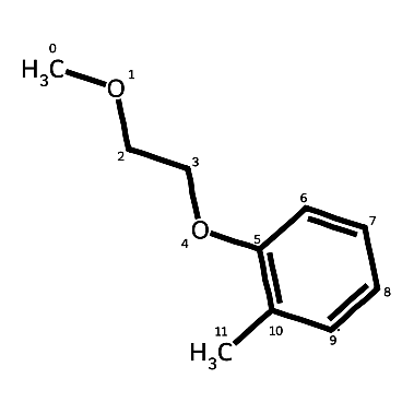 COCCOc1ccc[c]c1C